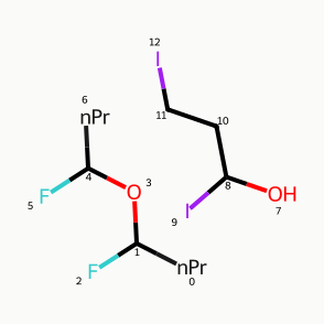 CCCC(F)OC(F)CCC.OC(I)CCI